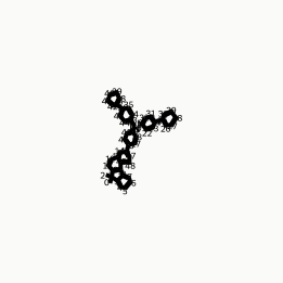 CC1(C)c2ccccc2-c2c1ccc1cc(-c3ccc(N(c4ccc(-c5ccccc5)cc4)c4ccc(-c5ccccc5)cc4)cc3)ccc21